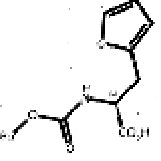 CC(C)(C)OC(=O)N[C@@H](Cc1ccco1)C(=O)O